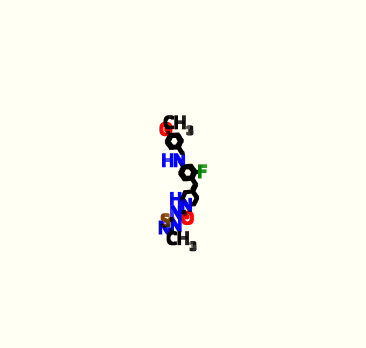 COc1ccc(CNc2ccc(C=C3CCN(C(=O)Nc4nc(C)ns4)CC3)c(F)c2)cc1